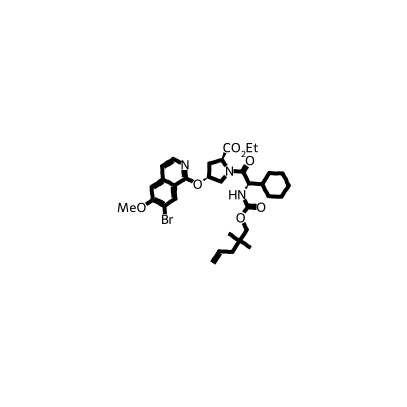 C=CCC(C)(C)COC(=O)N[C@H](C(=O)N1C[C@H](Oc2nccc3cc(OC)c(Br)cc23)C[C@H]1C(=O)OCC)C1CCCCC1